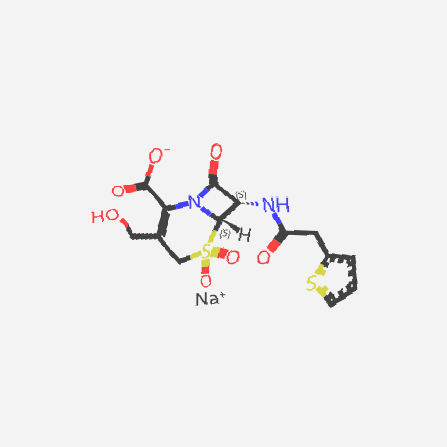 O=C(Cc1cccs1)N[C@H]1C(=O)N2C(C(=O)[O-])=C(CO)CS(=O)(=O)[C@@H]12.[Na+]